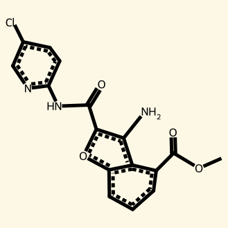 COC(=O)c1cccc2oc(C(=O)Nc3ccc(Cl)cn3)c(N)c12